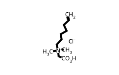 C=CCCCCC[N+](C)(C)CC(=O)O.[Cl-]